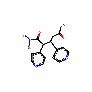 COC(=O)CC(c1ccncc1)C(C(=O)N(C(C)C)C(C)C)c1ccncc1